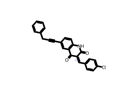 O=C1Nc2ccc(C#CCc3ccccc3)cc2C(=O)/C1=C/c1ccc(Cl)cc1